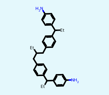 CCC(Cc1ccc(C(CC)c2ccc(N)cc2)cc1)Cc1ccc(C(CC)c2ccc(N)cc2)cc1